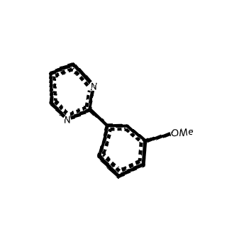 COc1cccc(-c2ncccn2)c1